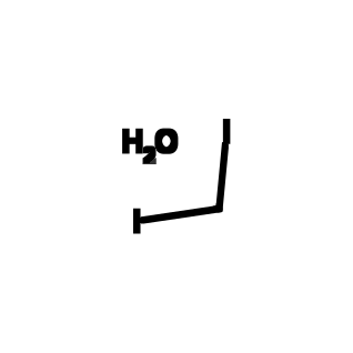 ICI.O